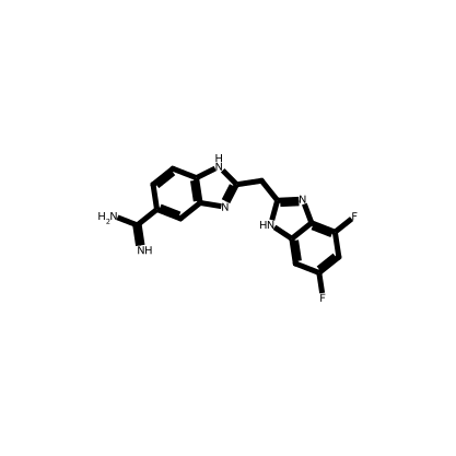 N=C(N)c1ccc2[nH]c(Cc3nc4c(F)cc(F)cc4[nH]3)nc2c1